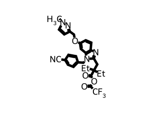 CCC(CC)(Cc1nc2ccc(OCc3ccn(C)n3)cc2n1Cc1ccc(C#N)cc1)C(=O)OC(=O)C(F)(F)F